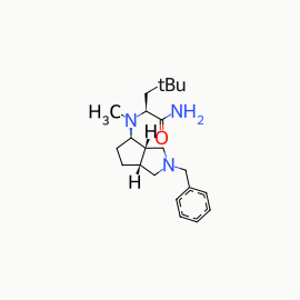 CN([C@@H]1CC[C@H]2CN(Cc3ccccc3)C[C@H]21)[C@@H](CC(C)(C)C)C(N)=O